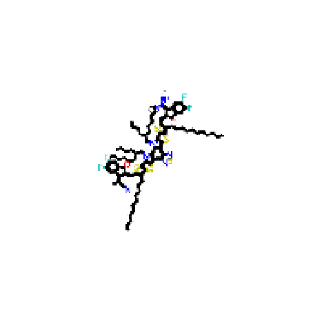 [C-]#[N+]C([N+]#[C-])=C1/C(=C/c2sc3c(sc4c5c6nsnc6c6c7sc8c(CCCCCCCCCCC)c(/C=C9\C(=O)c%10cc(F)c(F)cc%10\C9=C(/C)C#N)sc8c7n(CC(CCCC)CCCCCC)c6c5n(CC(CCCC)CCCCCC)c34)c2CCCCCCCCCCC)C(=O)c2cc(F)c(F)cc21